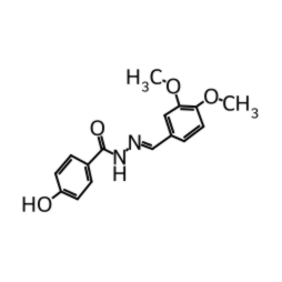 COc1ccc(/C=N/NC(=O)c2ccc(O)cc2)cc1OC